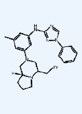 Cc1cc(Nc2ncn(-c3ccccc3)n2)cc(N2CC(CC(C)C)N3CCC[C@@H]3C2)c1